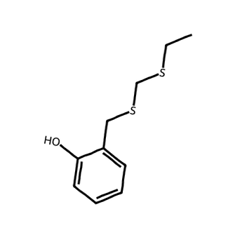 CCSCSCc1ccccc1O